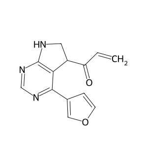 C=CC(=O)C1CNc2ncnc(-c3ccoc3)c21